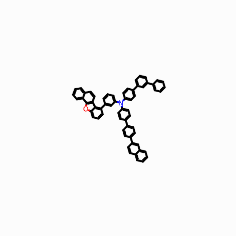 c1ccc(-c2cccc(-c3ccc(N(c4ccc(-c5ccc(-c6ccc7ccccc7c6)cc5)cc4)c4cccc(-c5cccc6oc7c8ccccc8ccc7c56)c4)cc3)c2)cc1